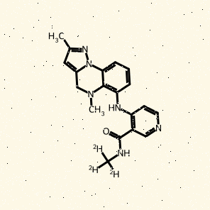 [2H]C([2H])([2H])NC(=O)c1cnccc1Nc1cccc2c1N(C)Cc1cc(C)nn1-2